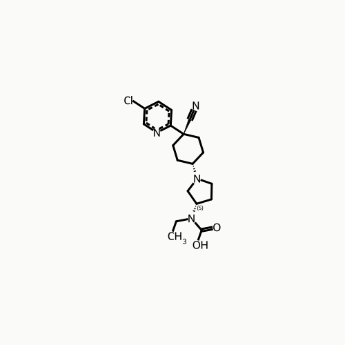 CCN(C(=O)O)[C@H]1CCN([C@H]2CC[C@@](C#N)(c3ccc(Cl)cn3)CC2)C1